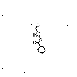 O=CC1CC(OC(=O)c2ccccc2)N1